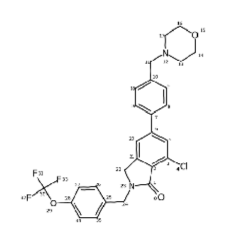 O=C1c2c(Cl)cc(-c3ccc(CN4CCOCC4)cc3)cc2CN1Cc1ccc(OC(F)(F)F)cc1